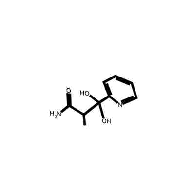 CC(C(N)=O)C(O)(O)c1ccccn1